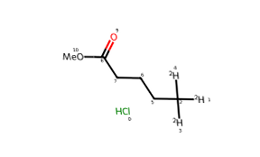 Cl.[2H]C([2H])([2H])CCCC(=O)OC